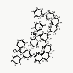 O=P(c1ccccc1)(c1ccccc1)c1ccc(-c2ccc3ccc4ccc(-c5cc(-c6ccc7ccc8ccc(-c9ccccc9)nc8c7n6)cc(P(=O)(c6ccccc6)c6ccccc6)c5)nc4c3n2)cc1